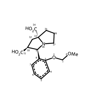 COCOc1ccccc1[C@H]1[C@@H](C(=O)O)C[C@@]2(C(=O)O)CCCN12